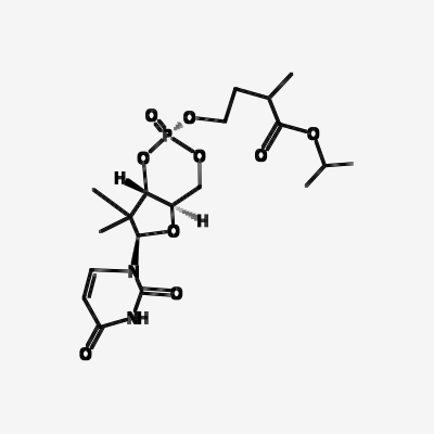 CC(C)OC(=O)C(C)CCO[P@]1(=O)OC[C@H]2O[C@@H](n3ccc(=O)[nH]c3=O)C(C)(C)[C@@H]2O1